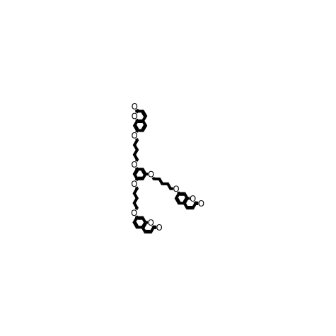 O=c1ccc2ccc(OCCCCCOc3cc(OCCCCCOc4ccc5ccc(=O)oc5c4)cc(OCCCCCOc4ccc5ccc(=O)oc5c4)c3)cc2o1